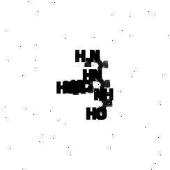 Cl.Cl.Cl.NCNCNCO